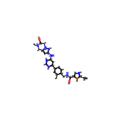 Cc1cc(-c2cc(Nc3cc4n(n3)CC(=O)N(C)C4)ncn2)ccc1CNC(=O)c1cnc(C(C)(C)C)s1